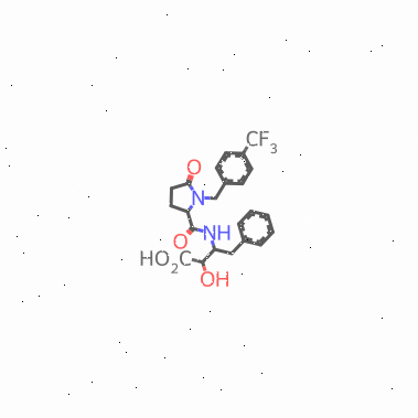 O=C(O)C(O)C(Cc1ccccc1)NC(=O)C1CCC(=O)N1Cc1ccc(C(F)(F)F)cc1